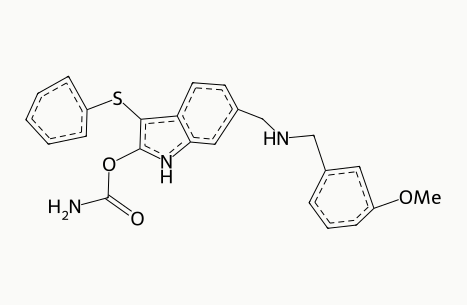 COc1cccc(CNCc2ccc3c(Sc4ccccc4)c(OC(N)=O)[nH]c3c2)c1